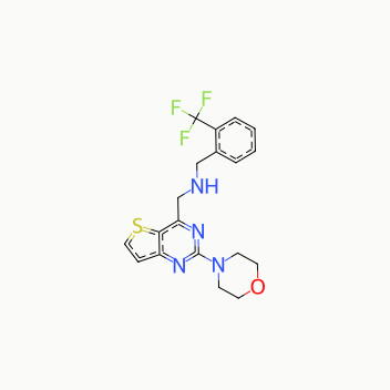 FC(F)(F)c1ccccc1CNCc1nc(N2CCOCC2)nc2ccsc12